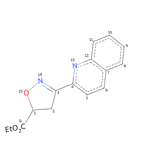 CCOC(=O)C1CC(c2ccc3ccccc3n2)=NO1